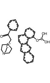 O=C(C[N+]12CCN(CC1)CC2)c1ccccc1.OB(O)Oc1cccc2ccc3cc4ccccc4cc3c12